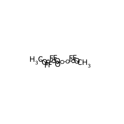 CCCOc1ccc(-c2ccc(OC(=O)C3CCC(C4CC=C(c5ccc(OCC)c(F)c5F)CC4)CC3)c(F)c2F)c(F)c1F